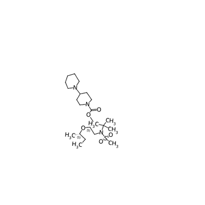 CC[C@H](C)O[C@H](COC(=O)N1CCC(N2CCCCC2)CC1)CN(C(C)(C)C)S(C)(=O)=O